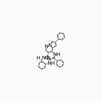 NC(=O)c1cnn2cc(-c3ccccc3)cc2c1N[C@H](C(=O)Nc1ccccc1)c1ccccc1